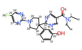 CCN(CC)C(=O)c1cnc(C2(c3cccc(O)c3)CCN(c3ncc(F)cn3)CC2)nc1